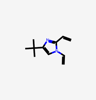 C=Cc1nc(C(C)(C)C)cn1C=C